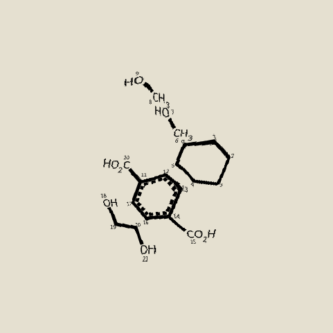 C1CCCCC1.CO.CO.O=C(O)c1ccc(C(=O)O)cc1.OCCO